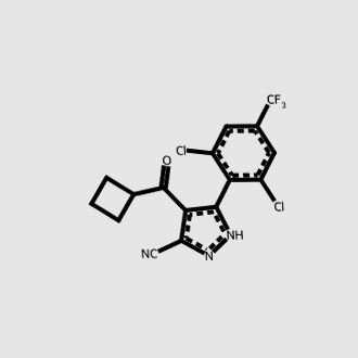 N#Cc1n[nH]c(-c2c(Cl)cc(C(F)(F)F)cc2Cl)c1C(=O)C1CCC1